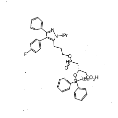 CC(C)n1nc(-c2ccccc2)c(-c2ccc(F)cc2)c1CCCO[PH](=O)C[C@H](CC(=O)O)O[Si](c1ccccc1)(c1ccccc1)C(C)(C)C